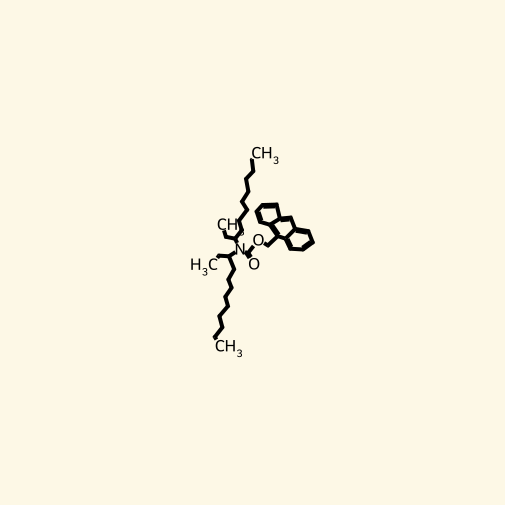 CCCCCCCCCC(CC)N(C(=O)OCc1c2ccccc2cc2ccccc12)C(CC)CCCCCCCCC